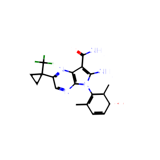 CC1=C(n2c(N)c(C(N)=O)c3nc(C4(C(F)(F)F)CC4)cnc32)C(C)[C@H](O)C=C1